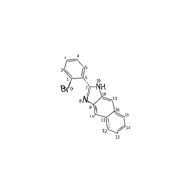 Brc1ccccc1-c1nc2cc3ccccc3cc2[nH]1